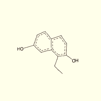 CCc1c(O)ccc2ccc(O)cc12